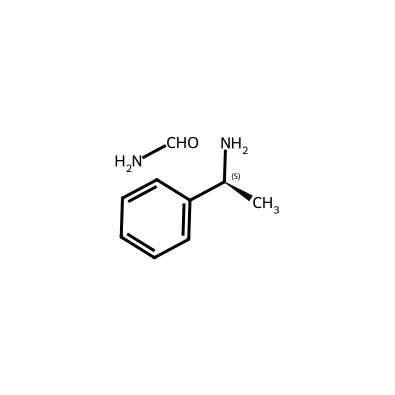 C[C@H](N)c1ccccc1.NC=O